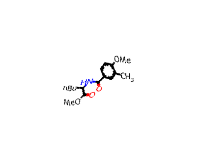 CCCCC(NC(=O)c1ccc(OC)c(C)c1)C(=O)OC